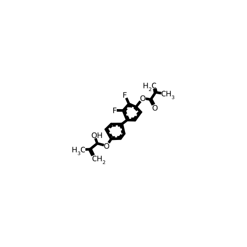 C=C(C)C(=O)Oc1ccc(-c2ccc(OC(O)C(=C)C)cc2)c(F)c1F